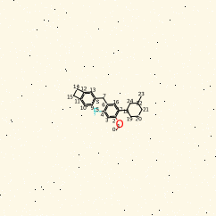 COc1cc(F)c(Cc2ccc3c(c2)CC3)cc1C1CCCC(C)C1